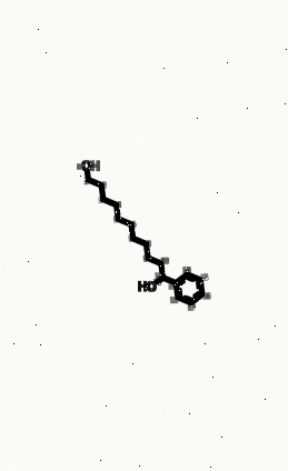 OCCCCCCCCCCC(O)c1ccccc1